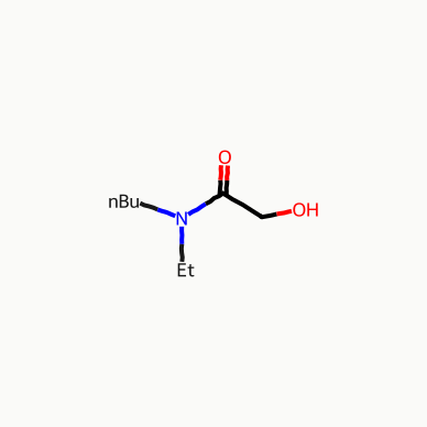 CCCCN(CC)C(=O)CO